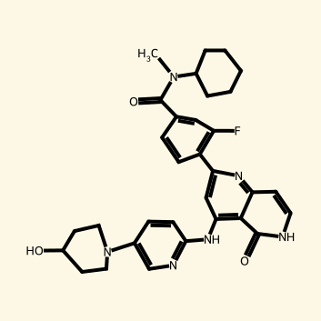 CN(C(=O)c1ccc(-c2cc(Nc3ccc(N4CCC(O)CC4)cn3)c3c(=O)[nH]ccc3n2)c(F)c1)C1CCCCC1